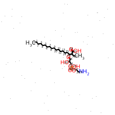 CCCCCCCCCCCCCCCCC(OCC(O)COP(=O)(O)OCCN)C(CC)C(=O)O